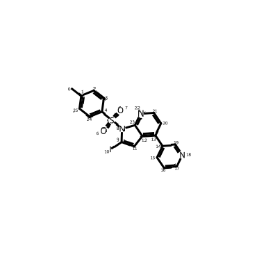 Cc1ccc(S(=O)(=O)n2c(I)cc3c(-c4cccnc4)ccnc32)cc1